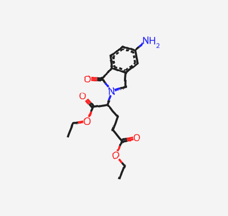 CCOC(=O)CCC(C(=O)OCC)N1Cc2cc(N)ccc2C1=O